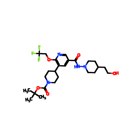 CC(C)(C)OC(=O)N1CCC(c2cc(C(=O)NN3CCC(CCO)CC3)cnc2OCC(F)(F)F)CC1